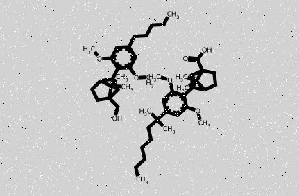 CCCCCCC(C)(C)c1cc(OC)c(C2=CC3(C(=O)O)CCC2C3(C)C)c(OC)c1.CCCCCc1cc(OC)c(C2=CC3(CO)CCC2C3(C)C)c(OC)c1